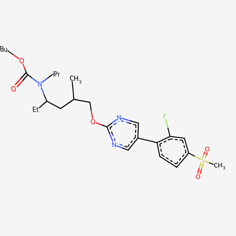 CCC(CC(C)COc1ncc(-c2ccc(S(C)(=O)=O)cc2F)cn1)N(C(=O)OC(C)(C)C)C(C)C